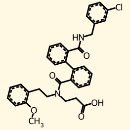 COc1ccccc1CCN(CCC(=O)O)C(=O)c1ccccc1-c1ccccc1C(=O)NCc1cccc(Cl)c1